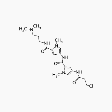 CN(C)CCCNC(=O)c1cc(NC(=O)c2cc(NC(=O)CCCl)cn2C)cn1C